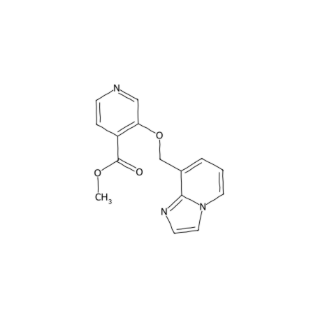 COC(=O)c1ccncc1OCc1cccn2ccnc12